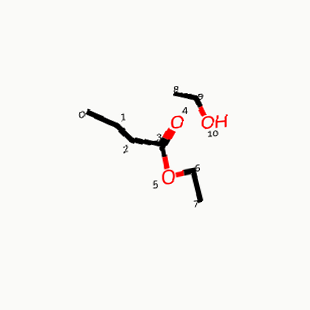 CCCC(=O)OCC.CCO